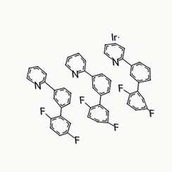 Fc1ccc(F)c(-c2cccc(-c3ccccn3)c2)c1.Fc1ccc(F)c(-c2cccc(-c3ccccn3)c2)c1.Fc1ccc(F)c(-c2cccc(-c3ccccn3)c2)c1.[Ir]